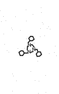 C1CCC(CN2CCN(CC3CCCCC3)CCN(CC3CCCCC3)CC2)CC1